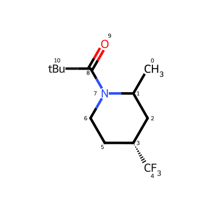 CC1C[C@H](C(F)(F)F)CCN1C(=O)C(C)(C)C